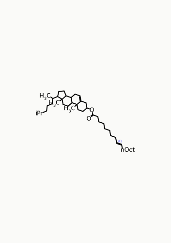 CCCCCCCC/C=C/CCCCCCCC(=O)OC1CCC2(C)C(=CCC3C2CCC2(C)C(C(C)CCCC(C)C)CCC32)C1